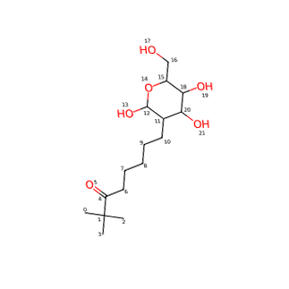 CC(C)(C)C(=O)CCCCCC1C(O)OC(CO)C(O)C1O